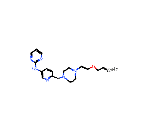 COCCOCCN1CCN(Cc2ccc(Nc3ncccn3)cn2)CC1